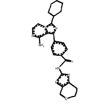 Nc1nccn2c(C3CCCCC3)nc(-c3ccc(C(=O)Nc4nc5c(s4)COCC5)cc3)c12